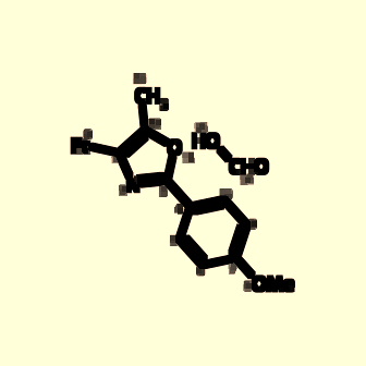 CCc1nc(-c2ccc(OC)cc2)oc1C.O=CO